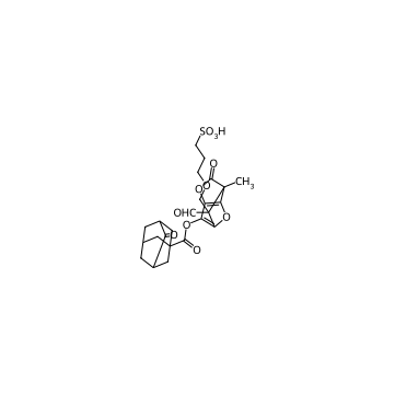 CC12C(=O)Oc3c1oc(c3OC(=O)C13CC4CC(C1)C(=O)C(C4)C3)C2(C=O)COCCCS(=O)(=O)O